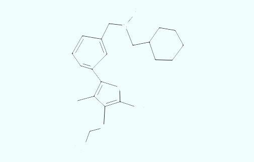 CC(=O)N(Cc1cccc(-c2sc(C(=O)O)c(OCC(=O)O)c2Cl)c1)CC1CCCCC1